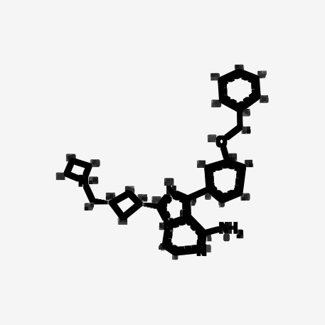 Nc1nccn2c1c(-c1cccc(OCc3ccccc3)c1)nc2[C@H]1C[C@@H](CN2CCC2)C1